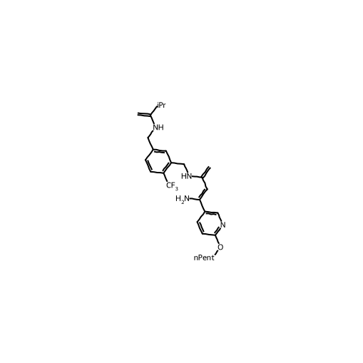 C=C(/C=C(\N)c1ccc(OCCCCC)nc1)NCc1cc(CNC(=C)C(C)C)ccc1C(F)(F)F